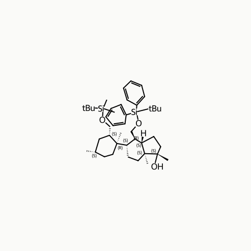 C[C@H]1CC[C@](C)([C@H]2CC[C@@]3(C)[C@@H](CC[C@]3(C)O)[C@@H]2CO[Si](c2ccccc2)(c2ccccc2)C(C)(C)C)[C@@H](CO[Si](C)(C)C(C)(C)C)C1